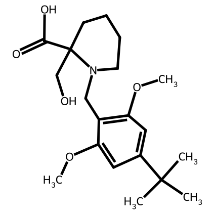 COc1cc(C(C)(C)C)cc(OC)c1CN1CCCCC1(CO)C(=O)O